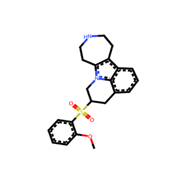 COc1ccccc1S(=O)(=O)C1Cc2cccc3c4c(n(c23)C1)CCNCC4